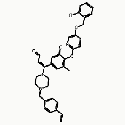 C=Cc1ccc(CN2CCN(/C(=C/C=O)c3cc(C)c(Oc4ccc(OCc5ccccc5Cl)cn4)c(Cl)c3)CC2)cc1